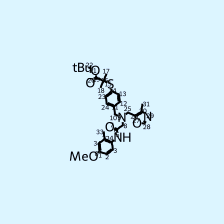 COc1ccc(NC(=O)CN(Cc2ccc(SC(C)(C)C(=O)OC(C)(C)C)cc2)Cc2ocnc2C)c(C)c1